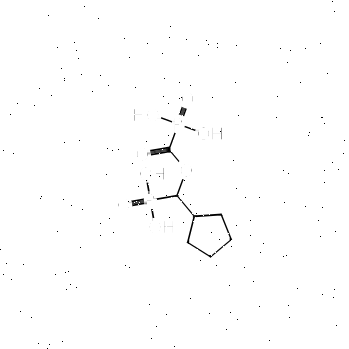 O=C(OC(C1CCCC1)P(=O)(O)O)P(=O)(O)O